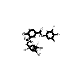 O=C(Nc1cc(F)c(F)c(F)c1)c1ccc(Cl)c(S(=O)(=O)C[C@H]2C3CC2[C@@H](O)C3O)c1